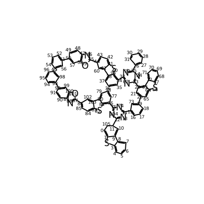 C1=c2sc3ccccc3c2=CC(c2nc(-c3cccc(-c4cc(-c5nc(-c6ccccc6)nc(-c6cccc7c6sc6ccc(-c8nc9ccc(-c%10ccccc%10)cc9o8)cc67)n5)c5c(c4)sc4ccccc45)c3)nc(-c3cccc4c3sc3ccc(-c5nc6ccc(-c7ccccc7)cc6o5)cc34)n2)C1